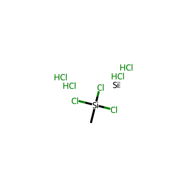 C[Si](Cl)(Cl)Cl.Cl.Cl.Cl.Cl.[Si]